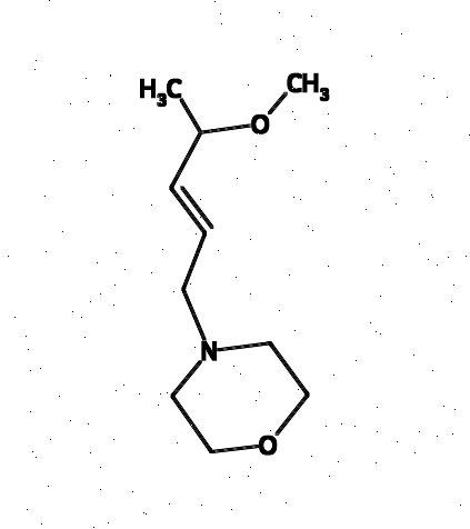 COC(C)/C=C/CN1CCOCC1